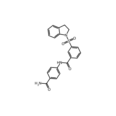 NC(=O)c1ccc(NC(=O)c2cccc(S(=O)(=O)N3CCc4ccccc43)c2)cc1